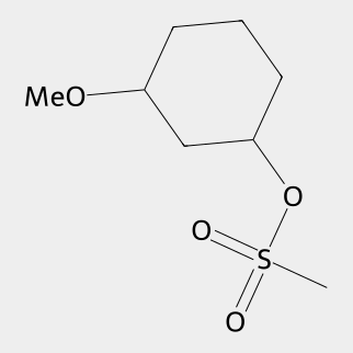 COC1CCCC(OS(C)(=O)=O)C1